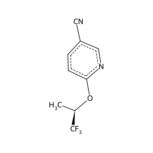 C[C@@H](Oc1ccc(C#N)cn1)C(F)(F)F